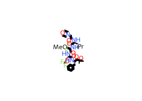 COC(F)(F)[C@@H](NC(=O)[C@H](CC(C)C)NC(=O)CN1CCOCC1)C(=O)N[C@@H](COC(F)F)C(=O)N[C@@H](Cc1ccccc1)C(=O)[C@@]1(C)CO1